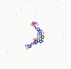 COc1nc(-c2ccnc(-c3cccc(NC(=O)c4nc5c(n4C)CCN(CCCS(N)(=O)=O)C5)c3Cl)c2Cl)ccc1CNC[C@H]1CCC(=O)N1